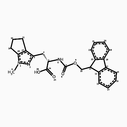 Cn1nc(C[C@H](NC(=O)OCC2c3ccccc3-c3ccccc32)C(=O)O)c2c1CCC2